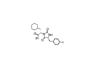 CC(C)C(=O)[C@H](CC1CCCCC1)N1C(=O)N[C@@H](Cc2ccc(I)cc2)C1=O